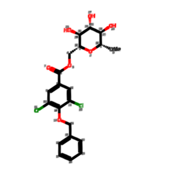 CO[C@@H]1O[C@H](COC(=O)c2cc(Cl)c(OCc3ccccc3)c(Cl)c2)[C@@H](O)[C@H](O)[C@H]1O